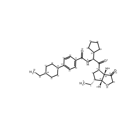 CC[C@@H]1CN(C(=O)[C@@H](NC(=O)c2ccc(N3CCN(CC)CC3)cc2)C2CCCC2)[C@@H]2C(=O)CO[C@H]12